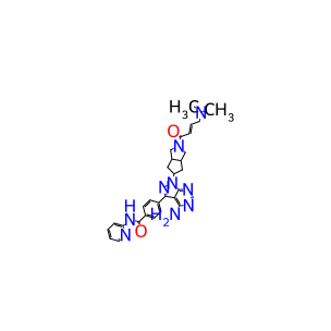 CN(C)CC=CC(=O)N1CC2CC(n3nc(-c4ccc(C(=O)Nc5ccccn5)cc4)c4c(N)ncnc43)CC2C1